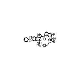 Cc1cc(OC2(F)C=CC=CC2)ncc1-n1ncc(C(=O)n2ccc3cc(F)c(NS(=O)(=O)CCCCl)cc32)c1N